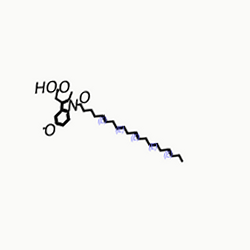 CC/C=C/C/C=C/C/C=C/C/C=C/C/C=C/CCCC(=O)n1c(C)c(CC(=O)O)c2cc(OC)ccc21